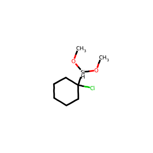 CO[SiH](OC)C1(Cl)CCCCC1